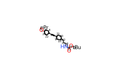 CCCOc1ccc(C#Cc2ccc(CCCNC(=O)OC(C)(C)C)cc2)cc1